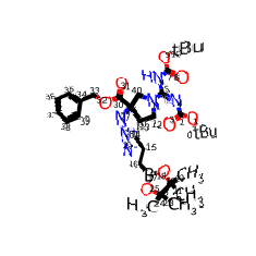 CC(C)(C)OC(=O)/N=C(/NC(=O)OC(C)(C)C)N1C[C@H](CCCB2OC(C)(C)C(C)(C)O2)C(N=[N+]=[N-])(C(=O)OCc2ccccc2)C1